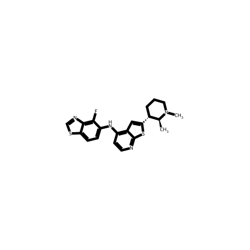 C[C@H]1[C@H](c2cc3c(Nc4ccc5scnc5c4F)ccnc3s2)CCCN1C